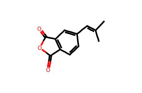 CC(C)=Cc1ccc2c(c1)C(=O)OC2=O